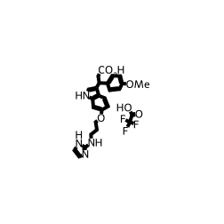 COc1ccc(C(CC(=O)O)c2c[nH]c3cc(OCCCNc4ncc[nH]4)ccc23)cc1.O=C(O)C(F)(F)F